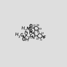 CN(O)C(=O)Cc1nc(-c2ccc(F)cc2)c(-c2ccccc2S(N)(=O)=O)o1